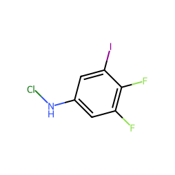 Fc1cc(NCl)cc(I)c1F